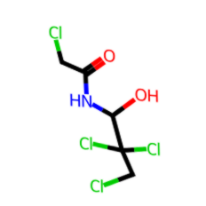 O=C(CCl)NC(O)C(Cl)(Cl)CCl